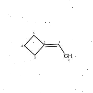 OC=C1CCC1